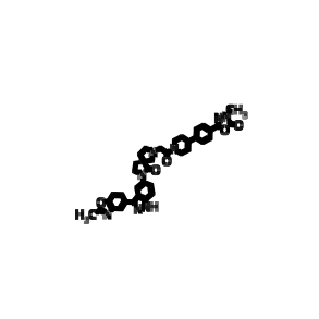 Cc1nc2cc(-c3n[nH]c4ccc(N5CC[C@]6(CCN(CC(=O)N7CC=C(c8ccc(-c9nn(C)c(=O)o9)cc8)CC7)C6)C5=O)cc34)ccc2o1